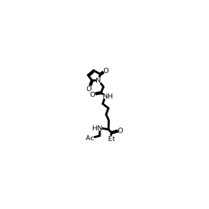 CCC(=O)C(CCCCNC(=O)CN1C(=O)C=CC1=O)NCC(C)=O